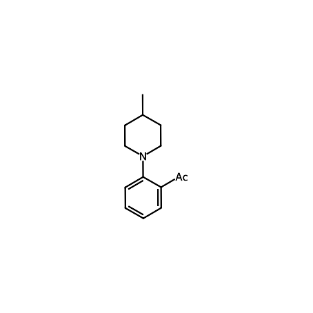 CC(=O)c1ccccc1N1CCC(C)CC1